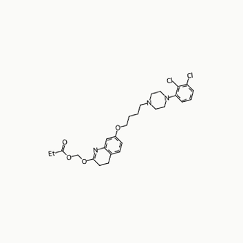 CCC(=O)OCOC1=Nc2cc(OCCCCN3CCN(c4cccc(Cl)c4Cl)CC3)ccc2CC1